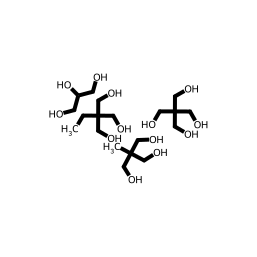 CC(CO)(CO)CO.CCC(CO)(CO)CO.OCC(CO)(CO)CO.OCC(O)CO